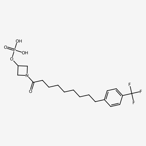 O=C(CCCCCCCCc1ccc(C(F)(F)F)cc1)N1CC(OP(=O)(O)O)C1